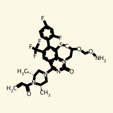 C=CC(=O)N1[C@H](C)CN(c2nc(=O)n3c4c(c(-c5ccc(F)cc5F)c(C(F)(F)F)cc24)SCC(OCON)C3)C[C@@H]1C